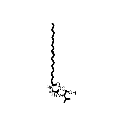 CCCCCCCCC=CCCCCCCCC(=O)N[C@@H](C)C(=O)N[C@H](C(=O)O)C(C)C